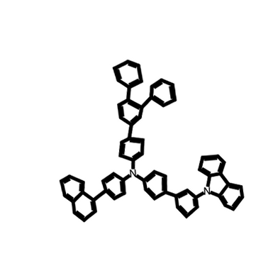 c1ccc(-c2ccc(-c3ccc(N(c4ccc(-c5cccc(-n6c7ccccc7c7ccccc76)c5)cc4)c4ccc(-c5cccc6ccccc56)cc4)cc3)cc2-c2ccccc2)cc1